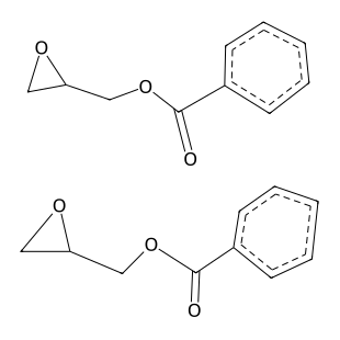 O=C(OCC1CO1)c1ccccc1.O=C(OCC1CO1)c1ccccc1